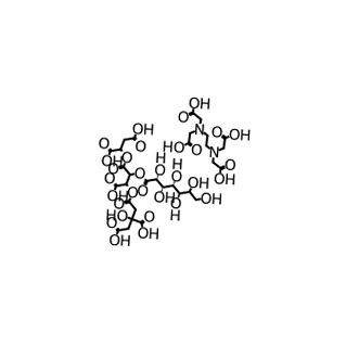 O=C(O)CC(OC(=O)C(OC(=O)[C@H](O)[C@@H](O)[C@H](O)[C@H](O)C(O)CO)C(OC(=O)CC(O)(CC(=O)O)C(=O)O)C(=O)O)C(=O)O.O=C(O)CN(CCN(CC(=O)O)CC(=O)O)CC(=O)O